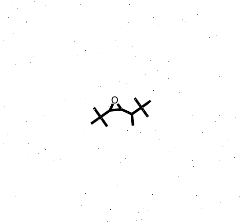 CC(C1OC1C(C)(C)C)C(C)(C)C